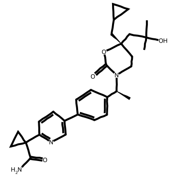 C[C@@H](c1ccc(-c2ccc(C3(C(N)=O)CC3)nc2)cc1)N1CC[C@@](CC2CC2)(CC(C)(C)O)OC1=O